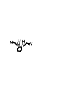 N#CCCNC1CCCCC1NCCC#N